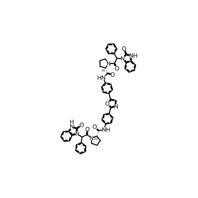 O=C(Nc1ccc(-c2cnc(-c3ccc(NC(=O)[C@@H]4CCCN4C(=O)C(c4ccccc4)n4c(=O)[nH]c5ccccc54)cc3)o2)cc1)[C@@H]1CCCN1C(=O)C(c1ccccc1)n1c(=O)[nH]c2ccccc21